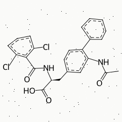 CC(=O)Nc1cc(C[C@H](NC(=O)c2c(Cl)cccc2Cl)C(=O)O)ccc1-c1ccccc1